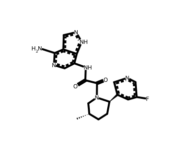 C[C@H]1CC[C@H](c2cncc(F)c2)N(C(=O)C(=O)Nc2cnc(N)c3cn[nH]c23)C1